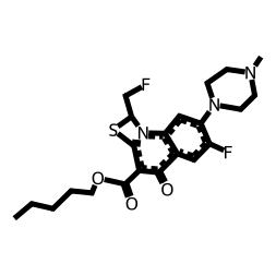 CCCCCOC(=O)c1c2n(c3cc(N4CCN(C)CC4)c(F)cc3c1=O)C(CF)S2